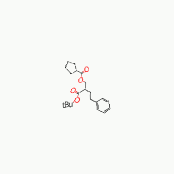 CC(C)(C)OC(=O)C(CCc1ccccc1)COC(=O)C1CCCC1